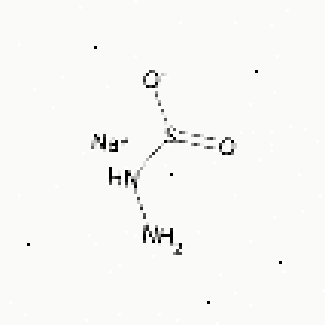 NNS(=O)[O-].[Na+]